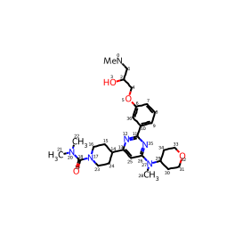 CNCC(O)COc1cccc(-c2nc(C3CCN(C(=O)N(C)C)CC3)cc(N(C)C3CCOCC3)n2)c1